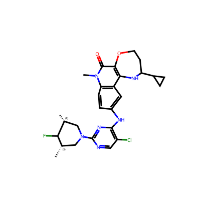 C[C@@H]1CN(c2ncc(Cl)c(Nc3ccc4c(c3)c3c(c(=O)n4C)OCCC(C4CC4)N3)n2)C[C@H](C)C1F